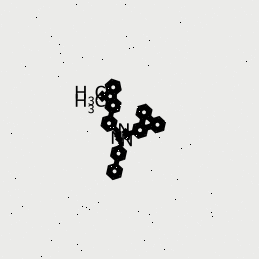 CC1(C)c2ccccc2-c2ccc(-c3cccc(-c4nc(-c5ccc(-c6ccccc6)cc5)nc(-c5ccc6c7ccccc7c7ccccc7c6c5)n4)c3)cc21